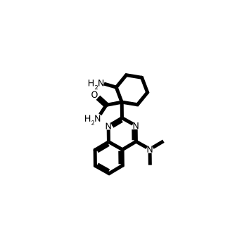 CN(C)c1nc(C2(C(N)=O)CCCCC2N)nc2ccccc12